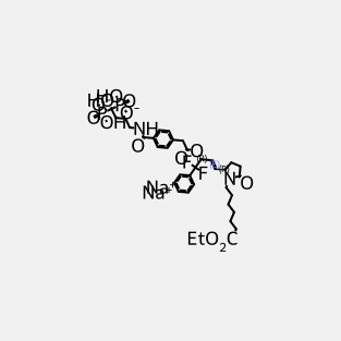 CCOC(=O)CCCCCCN1C(=O)CC[C@@H]1/C=C/[C@@H](OC(=O)Cc1ccc(C(=O)NCCCC(O)(P(=O)([O-])O)P(=O)([O-])O)cc1)C(F)(F)c1ccccc1.[Na+].[Na+]